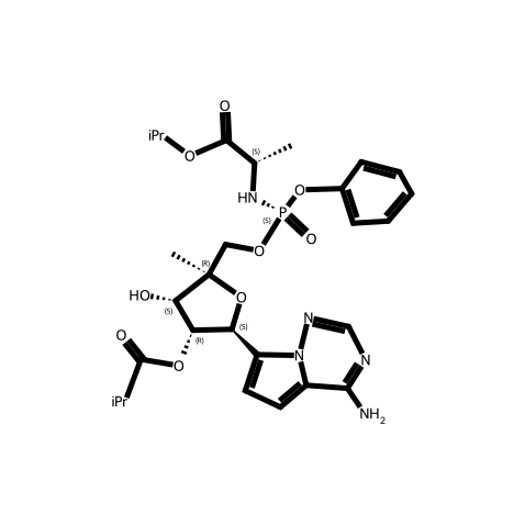 CC(C)OC(=O)[C@H](C)N[P@](=O)(OC[C@@]1(C)O[C@@H](c2ccc3c(N)ncnn23)[C@H](OC(=O)C(C)C)[C@@H]1O)Oc1ccccc1